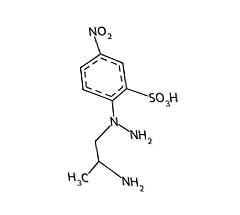 CC(N)CN(N)c1ccc([N+](=O)[O-])cc1S(=O)(=O)O